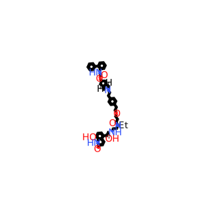 CCN(CCNC[C@H](O)c1ccc(O)c2[nH]c(=O)ccc12)C(=O)CCOCCc1ccc(CCN2C[C@H]3CC(OC(=O)Nc4ccccc4-c4ccccc4)C[C@H]3C2)cc1